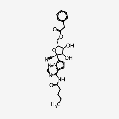 CCCCC(=O)Nc1ncnn2c([C@]3(C#N)O[C@H](COC(=O)Cc4ccccc4)[C@@H](O)[C@H]3O)ccc12